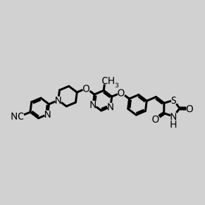 Cc1c(Oc2cccc(/C=C3/SC(=O)NC3=O)c2)ncnc1OC1CCN(c2ccc(C#N)cn2)CC1